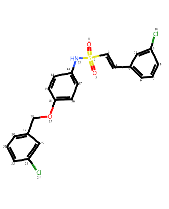 O=S(=O)(/C=C/c1cccc(Cl)c1)Nc1ccc(OCc2cccc(Cl)c2)cc1